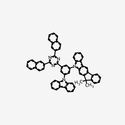 CC1(C)c2ccccc2-c2cc3c4ccccc4n(-c4cc(-c5nc(-c6ccc7ccccc7c6)nc(-c6ccc7ccccc7c6)n5)cc(-n5c6ccccc6c6ccccc65)c4)c3cc21